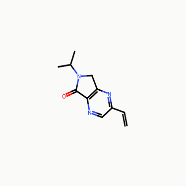 C=Cc1cnc2c(n1)CN(C(C)C)C2=O